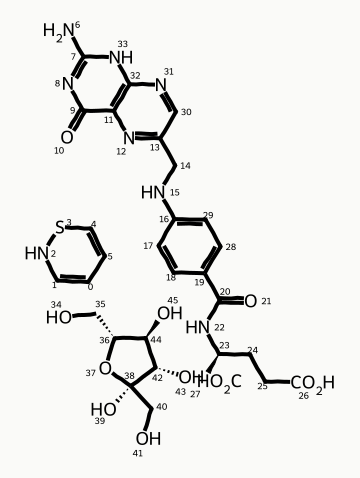 C1=CNSC=C1.Nc1nc(=O)c2nc(CNc3ccc(C(=O)N[C@@H](CCC(=O)O)C(=O)O)cc3)cnc2[nH]1.OC[C@H]1O[C@](O)(CO)[C@@H](O)[C@@H]1O